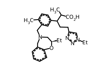 CC[C@@H]1CN(Cc2cc(C(CCc3cn(CC)nn3)C(C)C(=O)O)ccc2C)Cc2ccccc2O1